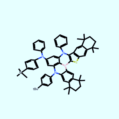 CC(C)(C)c1ccc(N2c3cc4c(cc3B3c5sc6cc7c(cc6c5N(c5ccccc5)c5cc(N(c6ccccc6)c6ccc([Si](C)(C)C)cc6)cc2c53)C(C)(C)CCC7(C)C)C(C)(C)CCC4(C)C)cc1